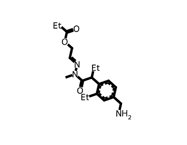 CCC(=O)OCC=NN(C)C(=O)C(CC)c1ccc(CN)cc1CC